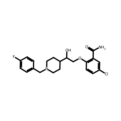 NC(=O)c1cc(Cl)ccc1OCC(O)C1CCN(Cc2ccc(F)cc2)CC1